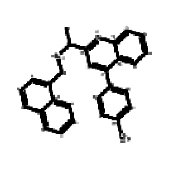 CC(NCc1cccc2ccccc12)c1cc(-c2ccc(C(F)(F)F)cc2)c2ccccc2n1